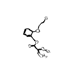 CCOC(C)C(=O)Oc1ccccc1OCCCl